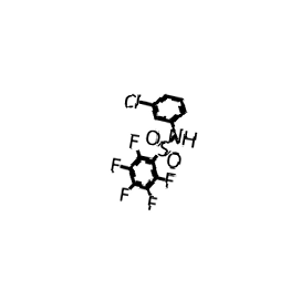 O=S(=O)(Nc1cccc(Cl)c1)c1c(F)c(F)c(F)c(F)c1F